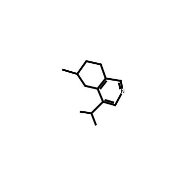 CC1CCc2cncc(C(C)C)c2C1